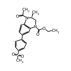 CCOC(=O)N1C[C@H](C)N(C(C)=O)c2ccc(-c3ccc(S(C)(=O)=O)cc3)cc21